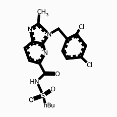 CCCCS(=O)(=O)NC(=O)c1ccc2nc(C)n(Cc3ccc(Cl)cc3Cl)c2n1